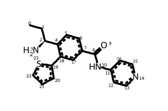 CC[C@H](N)c1ccc(C(=O)Nc2ccncc2)cc1-c1cccs1